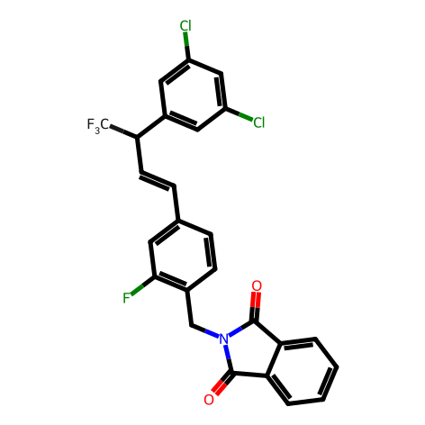 O=C1c2ccccc2C(=O)N1Cc1ccc(/C=C/C(c2cc(Cl)cc(Cl)c2)C(F)(F)F)cc1F